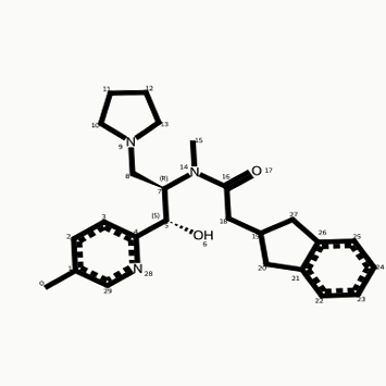 Cc1ccc([C@@H](O)[C@@H](CN2CCCC2)N(C)C(=O)CC2Cc3ccccc3C2)nc1